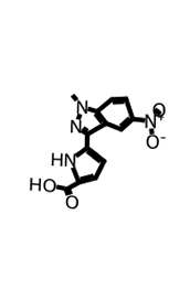 Cn1nc(-c2ccc(C(=O)O)[nH]2)c2cc([N+](=O)[O-])ccc21